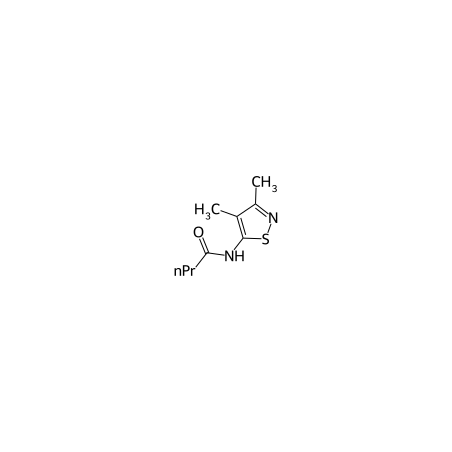 CCCC(=O)Nc1snc(C)c1C